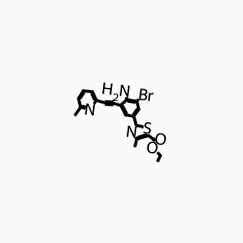 CCOC(=O)c1sc(-c2cc(Br)c(N)c(C#Cc3cccc(C)n3)c2)nc1C